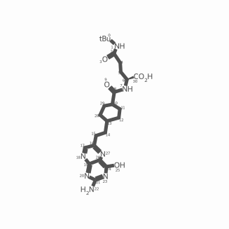 CC(C)(C)NC(=O)CC[C@H](NC(=O)C1CCC(CCc2cnc3nc(N)nc(O)c3n2)CC1)C(=O)O